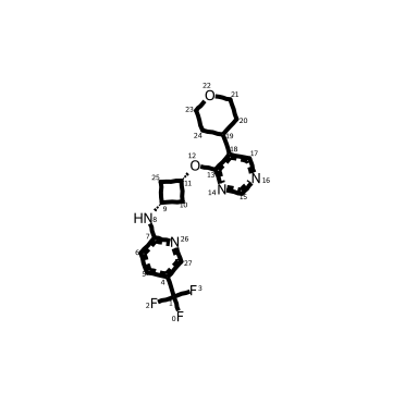 FC(F)(F)c1ccc(N[C@H]2C[C@@H](Oc3ncncc3C3CCOCC3)C2)nc1